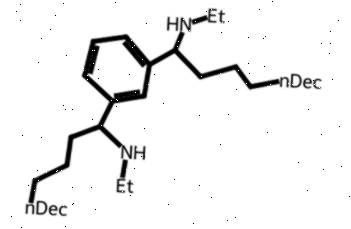 CCCCCCCCCCCCCC(NCC)c1cccc(C(CCCCCCCCCCCCC)NCC)c1